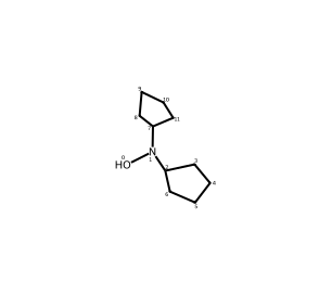 ON(C1CCCC1)C1CCCC1